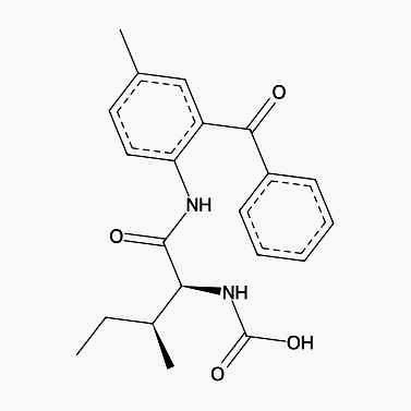 CC[C@H](C)[C@H](NC(=O)O)C(=O)Nc1ccc(C)cc1C(=O)c1ccccc1